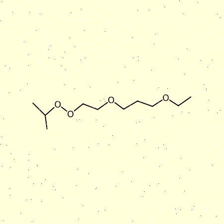 CCOCCCOCCOOC(C)C